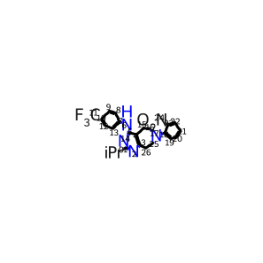 CC(C)c1nc2c(c(Nc3ccc(C(F)(F)F)cc3)n1)CCN(c1ccccc1[N+](=O)[O-])CC2